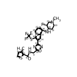 Cc1ccsc1C(=O)NCc1nc(-c2cc3c(N[C@@H]4CCN(C)C[C@@H]4F)cccn3c2SC(F)(F)F)no1